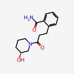 NC(=O)c1ccccc1[CH]CC(=O)N1CCC[C@H](O)C1